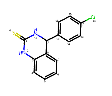 S=C1Nc2ccccc2C(c2ccc(Cl)cc2)N1